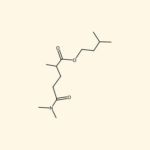 CC(C)CCOC(=O)C(C)CCC(=O)N(C)C